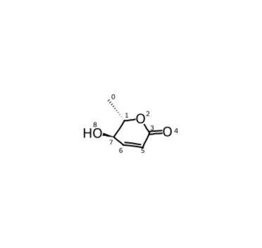 C[C@@H]1OC(=O)C=C[C@H]1O